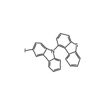 Ic1ccc2c(c1)c1ccccc1n2-c1cccc2sc3ccccc3c12